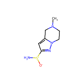 CN1CCn2nc([S+](N)[O-])cc2C1